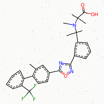 Cc1cc(-c2nc(-c3cccc(C(C)(C)N(C)C(C)(C)C(=O)O)c3)no2)ccc1-c1ccccc1C(F)(F)F